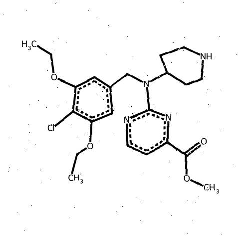 CCOc1cc(CN(c2nccc(C(=O)OC)n2)C2CCNCC2)cc(OCC)c1Cl